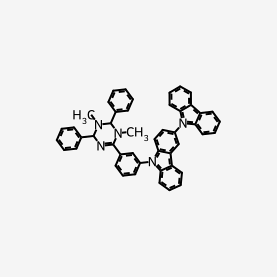 CN1C(c2cccc(-n3c4ccccc4c4cc(-n5c6ccccc6c6ccccc65)ccc43)c2)=NC(c2ccccc2)N(C)C1c1ccccc1